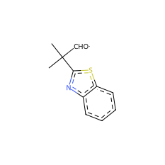 CC(C)([C]=O)c1nc2ccccc2s1